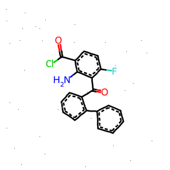 Nc1c(C(=O)Cl)ccc(F)c1C(=O)c1ccccc1-c1ccccc1